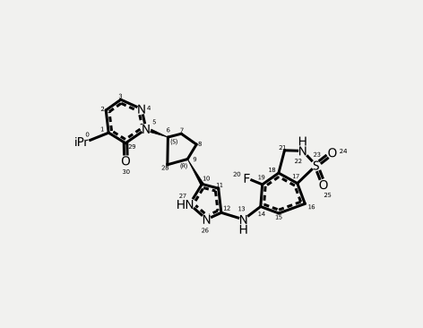 CC(C)c1ccnn([C@H]2CC[C@@H](c3cc(Nc4ccc5c(c4F)CNS5(=O)=O)n[nH]3)C2)c1=O